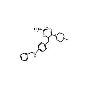 CN1CCN(C(=O)C(Cc2ccc(NCc3ccccc3)cc2)OC(N)=O)CC1